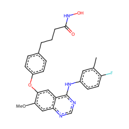 COc1cc2ncnc(Nc3ccc(F)c(C)c3)c2cc1Oc1ccc(CCCC(=O)NO)cc1